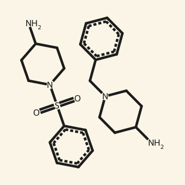 NC1CCN(Cc2ccccc2)CC1.NC1CCN(S(=O)(=O)c2ccccc2)CC1